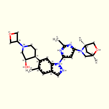 Cc1nc(N2C[C@H]3C[C@@H]2CO3)cc(-n2ncc3cc(C)c([C@@H]4CCN(C5COC5)C[C@@H]4O)cc32)n1